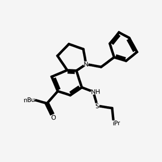 CCCCC(=O)c1cc2c(c(NSCC(C)C)c1)N(Cc1ccccc1)CCC2